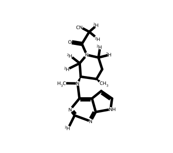 [2H]c1nc(N(C)[C@@H]2[C@H](C)CC([2H])([2H])N(C(=O)C([2H])([2H])[N+]#[C-])C2([2H])[2H])c2cc[nH]c2n1